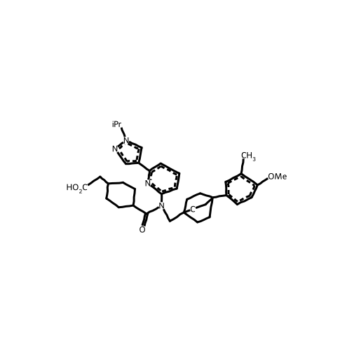 COc1ccc(C23CCC(CN(C(=O)C4CCC(CC(=O)O)CC4)c4cccc(-c5cnn(C(C)C)c5)n4)(CC2)CC3)cc1C